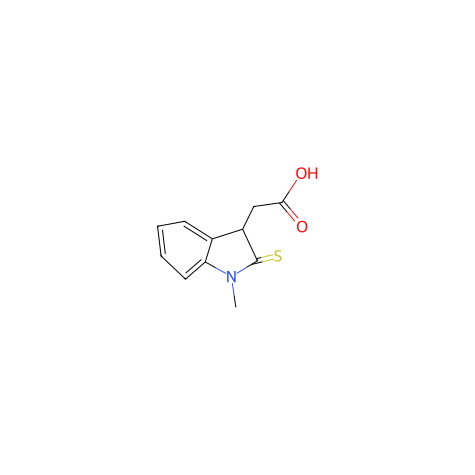 CN1C(=S)C(CC(=O)O)c2ccccc21